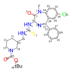 CN1C(=O)C(NC(=S)NCC2CCCN(C(=O)OC(C)(C)C)C2)N=C(c2ccccc2)c2cc(Cl)ccc21